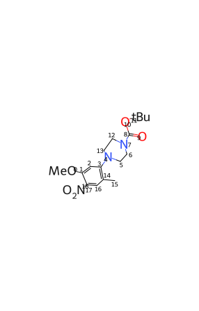 COc1cc(N2CCN(C(=O)OC(C)(C)C)CC2)c(C)cc1[N+](=O)[O-]